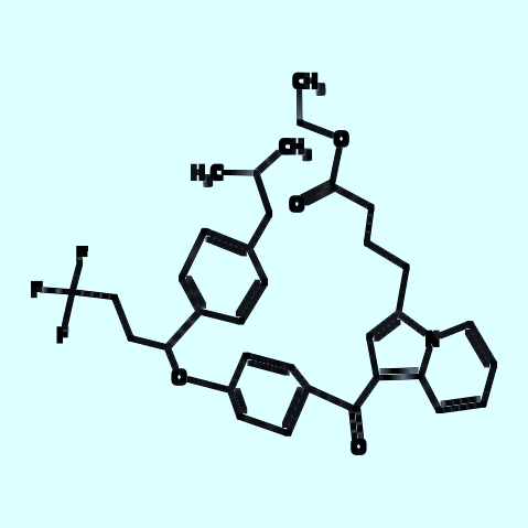 CCOC(=O)CCCc1cc(C(=O)c2ccc(OC(CCC(F)(F)F)c3ccc(CC(C)C)cc3)cc2)c2ccccn12